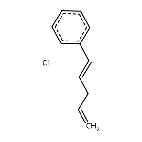 C=CCC=Cc1ccccc1.[C]